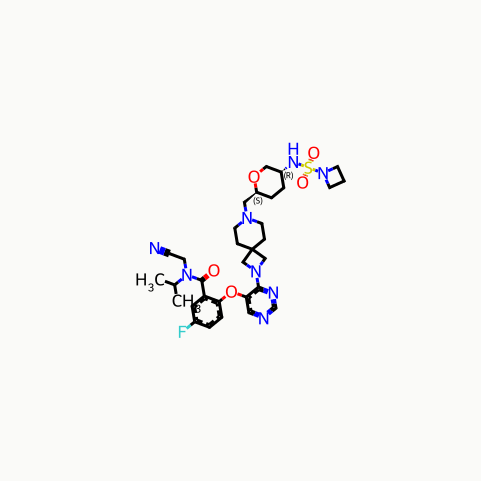 CC(C)N(CC#N)C(=O)c1cc(F)ccc1Oc1cncnc1N1CC2(CCN(C[C@@H]3CC[C@@H](NS(=O)(=O)N4CCC4)CO3)CC2)C1